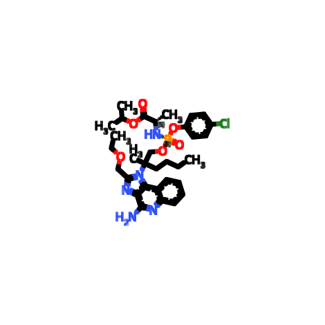 CCCCC(C)(CO[P@](=O)(N[C@@H](C)C(=O)OC(C)C)Oc1ccc(Cl)cc1)n1c(COCC)nc2c(N)nc3ccccc3c21